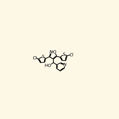 OC(c1cccnc1)c1c(-c2ccc(Cl)s2)noc1-c1ccc(Cl)s1